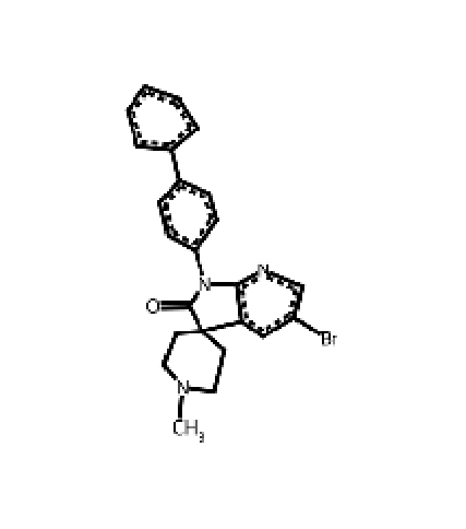 CN1CCC2(CC1)C(=O)N(c1ccc(-c3ccccc3)cc1)c1ncc(Br)cc12